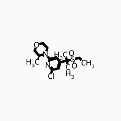 CCS(=O)(=O)C(C)(C)c1cc(Cl)nc(N2CCOC[C@@H]2C)c1